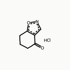 Cl.O=C1CCCc2oncc21